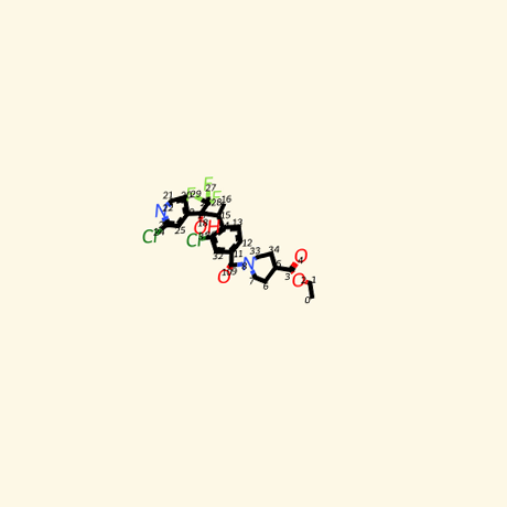 CCOC(=O)C1CCN(C(=O)c2ccc(C(C)C(O)(c3ccnc(Cl)c3)C(F)(F)F)c(Cl)c2)CC1